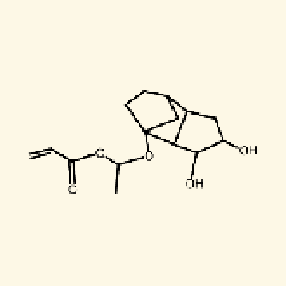 C=CC(=O)OC(C)OC12CCC(C1)C1CC(O)C(O)C12